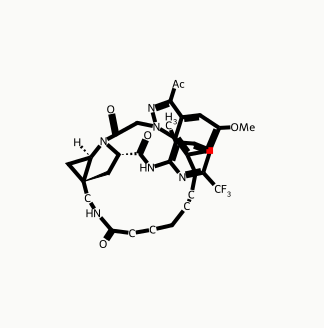 COc1cc2c3c(c1)c(C(C)=O)nn3CC(=O)N1[C@H](C(=O)Nc3nc(C(F)(F)F)ccc3C)C[C@@]3(CNC(=O)CCCCCC2)C[C@@H]13